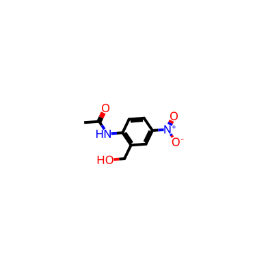 CC(=O)Nc1ccc([N+](=O)[O-])cc1CO